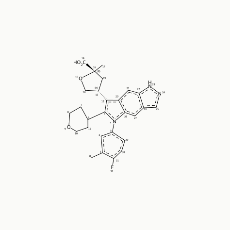 Cc1cc(-n2c(C3CCOCC3)c([C@@H]3CO[C@@](C)(C(=O)O)C3)c3cc4[nH]ncc4cc32)ccc1F